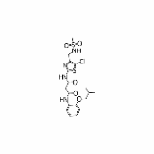 CC(C)COc1ccccc1NC(=O)CC(=O)Nc1nc(CNS(C)(=O)=O)c(Cl)s1